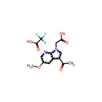 COc1cnc2c(c1)c(C(C)=O)cn2CC(=O)O.O=C(O)C(F)(F)F